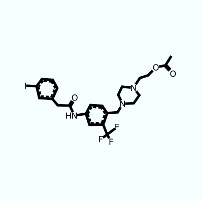 CC(=O)OCCN1CCN(Cc2ccc(NC(=O)Cc3cccc(I)c3)cc2C(F)(F)F)CC1